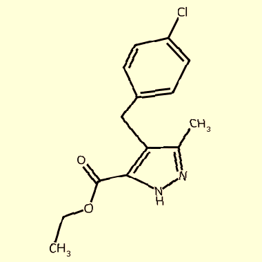 CCOC(=O)c1[nH]nc(C)c1Cc1ccc(Cl)cc1